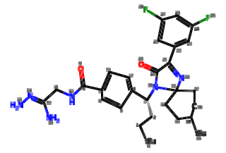 CC(C)(C)CC[C@H](c1ccc(C(=O)NC/C(N)=N/N)cc1)N1C(=O)C(c2cc(F)cc(F)c2)=NC12CCC(C(C)(C)C)CC2